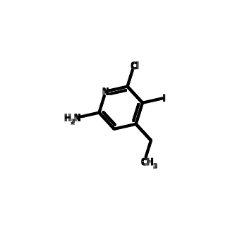 CCc1cc(N)nc(Cl)c1I